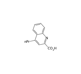 CCCc1cc(C(=O)O)nc2ccccc12